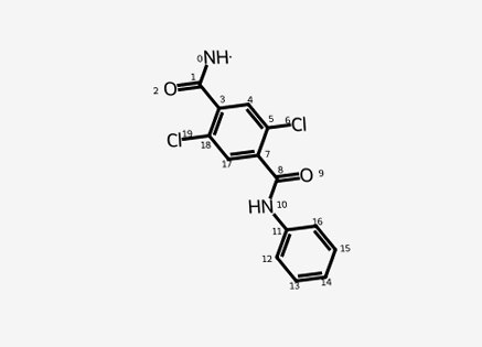 [NH]C(=O)c1cc(Cl)c(C(=O)Nc2ccccc2)cc1Cl